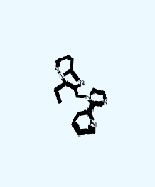 CCc1c(Cn2ccnc2-c2ccccn2)nc2cccnn12